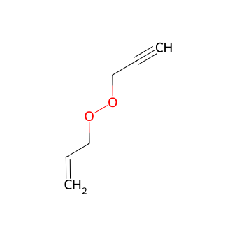 C#CCOOCC=C